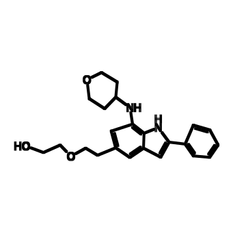 OCCOCCc1cc(NC2CCOCC2)c2[nH]c(-c3ccccc3)cc2c1